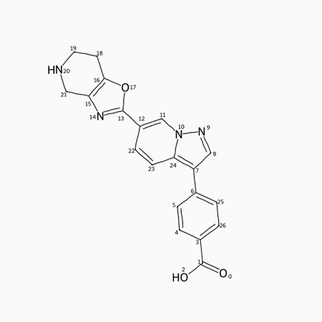 O=C(O)c1ccc(-c2cnn3cc(-c4nc5c(o4)CCNC5)ccc23)cc1